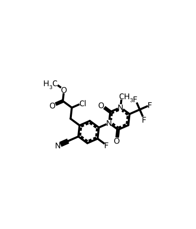 COC(=O)C(Cl)Cc1cc(-n2c(=O)cc(C(F)(F)F)n(C)c2=O)c(F)cc1C#N